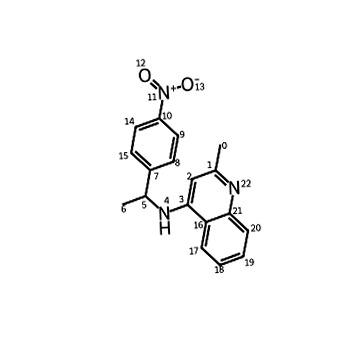 Cc1cc(NC(C)c2ccc([N+](=O)[O-])cc2)c2ccccc2n1